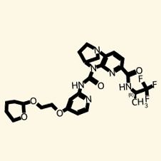 C[C@@H](NC(=O)c1ccc2c(n1)N(C(=O)Nc1cc(OCCOC3CCCCO3)ccn1)C1CCN2C1)C(F)(F)F